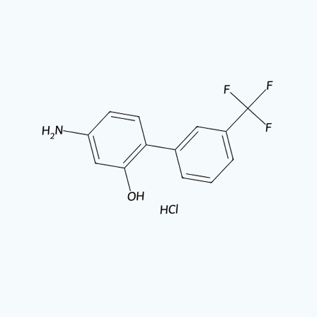 Cl.Nc1ccc(-c2cccc(C(F)(F)F)c2)c(O)c1